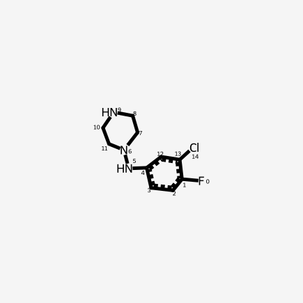 Fc1ccc(NN2CCNCC2)cc1Cl